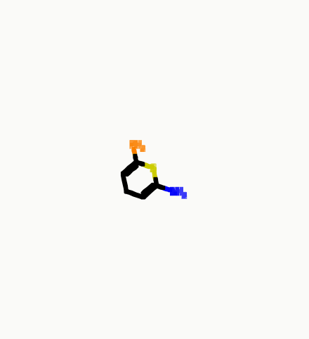 NC1=CCC=C(P)S1